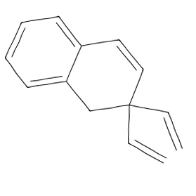 C=CC1(C=C)C=Cc2ccccc2C1